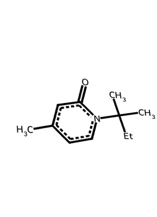 CCC(C)(C)n1ccc(C)cc1=O